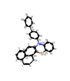 C1=Cc2cccc3cc4c(c(c23)C1)Sc1ccccc1N4c1ccc(-c2ccccc2)cc1